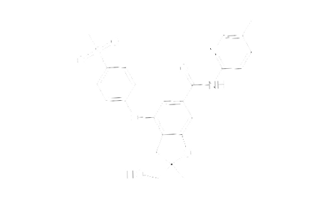 Cc1ccc(NC(=O)c2cc(Oc3ccc(S(C)(=O)=O)cc3)c3c(c2)OC(C)(CO)C3)nc1